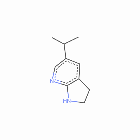 CC(C)c1cnc2c(c1)CCN2